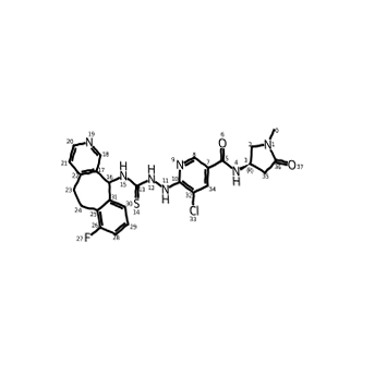 CN1C[C@H](NC(=O)c2cnc(NNC(=S)NC3c4cnccc4CCc4c(F)cccc43)c(Cl)c2)CC1=O